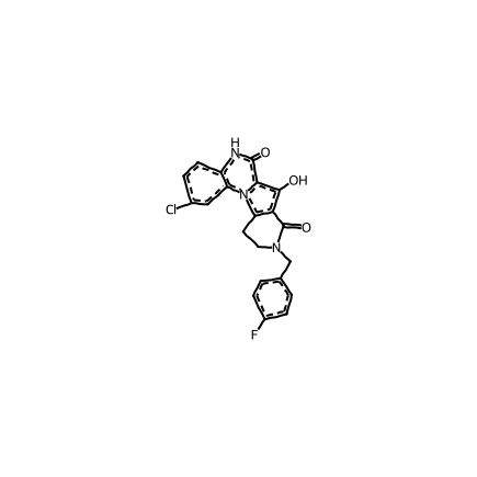 O=C1c2c(O)c3c(=O)[nH]c4ccc(Cl)cc4n3c2CCN1Cc1ccc(F)cc1